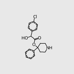 O=C(OC1(c2ccccc2)CCNCC1)C(O)c1ccc(Cl)cc1